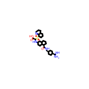 N=C(N)c1ccc(CNC(=O)c2cccc3cc(NC(C(=O)O)S(=O)(=O)c4cccc5cccnc45)ccc23)cc1